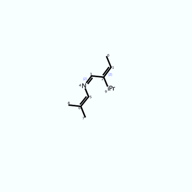 C/C=C(\C=N/C=C(C)C)C(C)C